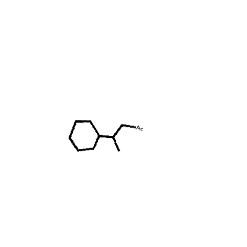 CC(=O)CC(C)C1CCCCC1